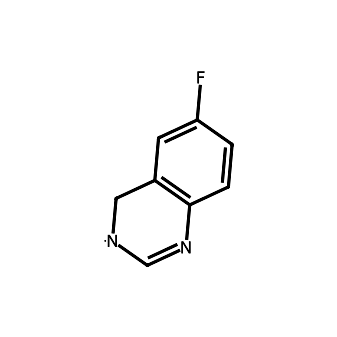 Fc1ccc2c(c1)C[N]C=N2